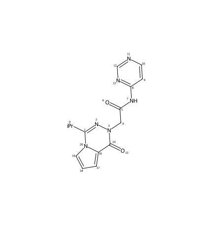 CC(C)c1nn(CC(=O)Nc2ccncn2)c(=O)c2cccn12